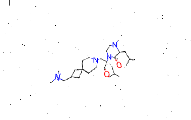 CC(C)C[C@H]1C(=O)N([C@](C=O)(CC(C)C)CN2CCC3(CC2)CC(CN(C)C)C3)CCN1C